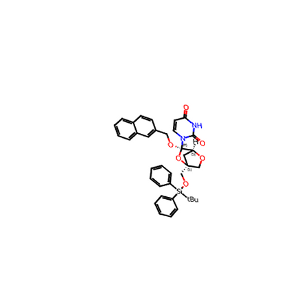 CC(C)(C)[Si](OC[C@@]12CO[C@@H](C1)[C@](OCc1ccc3ccccc3c1)(n1ccc(=O)[nH]c1=O)O2)(c1ccccc1)c1ccccc1